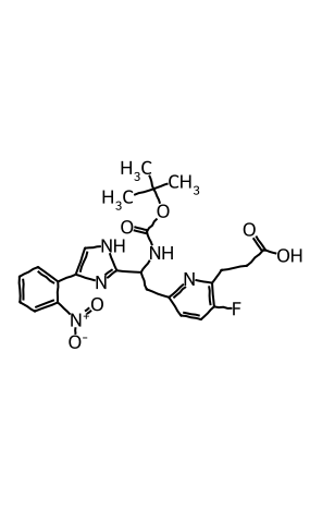 CC(C)(C)OC(=O)NC(Cc1ccc(F)c(CCC(=O)O)n1)c1nc(-c2ccccc2[N+](=O)[O-])c[nH]1